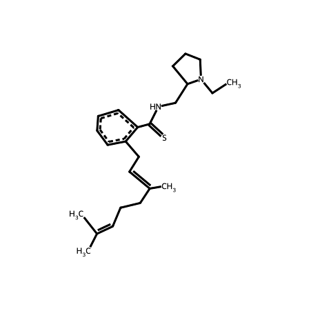 CCN1CCCC1CNC(=S)c1ccccc1C/C=C(\C)CCC=C(C)C